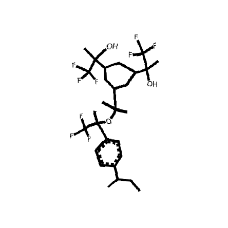 CCC(C)c1ccc(C(C)(OC(C)(C)C2CC(C(C)(O)C(F)(F)F)CC(C(C)(O)C(F)(F)F)C2)C(F)(F)F)cc1